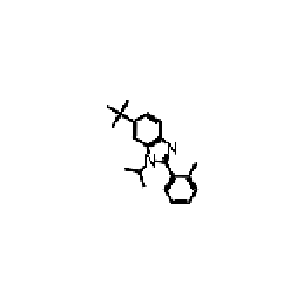 Cc1ccccc1-c1nc2ccc(C(C)(C)C)cc2n1C(C)C